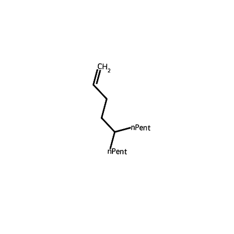 C=CCCC(CCCCC)CCCCC